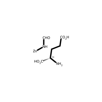 N[C@@H](CCC(=O)O)C(=O)O.O=C[NH][Zn]